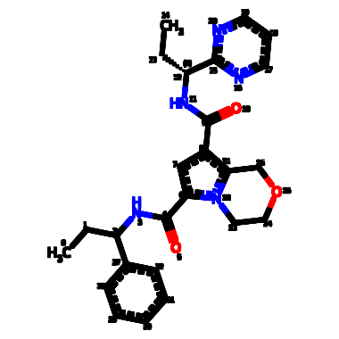 CCC(NC(=O)c1cc(C(=O)N[C@H](CC)c2ncccn2)c2n1CCOC2)c1ccccc1